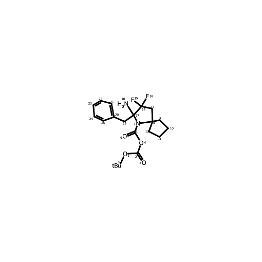 CC(C)(C)OC(=O)OC(=O)N1C2(CCCC2)CC(F)(F)C1(N)Cc1ccccc1